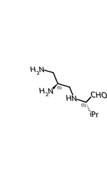 CC(C)[C@@H](C=O)NC[C@@H](N)CN